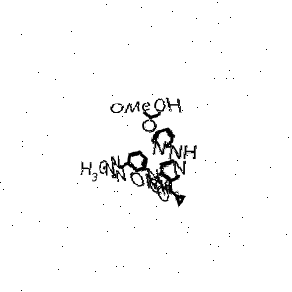 COCC(CO)Oc1ccc(Nc2cc(N(C)c3cccc(-c4ncn(C)n4)c3OC)c(C(=O)C3CC3)cn2)nc1